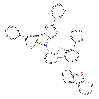 c1ccc(-c2ccc3c(c2)c2cc(-c4ccccc4)ccc2n3-c2cccc3c2oc2c(-c4ccccc4)ccc(-c4cccc5c4oc4ccccc45)c23)cc1